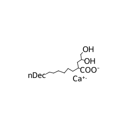 CCCCCCCCCCCCCCCCC(CC(O)CO)C(=O)[O-].[Ca+]